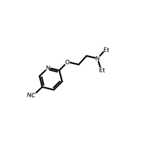 CCN(CC)CCOc1ccc(C#N)cn1